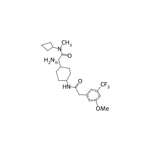 COc1cc(CC(=O)NC2CCC([C@H](N)C(=O)N(C)C3CCC3)CC2)cc(C(F)(F)F)c1